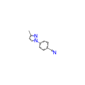 Cc1ccn(-c2ccc(C#N)cc2)n1